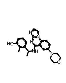 Cc1c(C#N)cccc1C(C)Nc1nc2nccn2c2ccc(N3CCOCC3)cc12